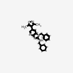 Cc1noc(C)c1-c1cnc2nc(NCC3CCCCC3)n(Cc3ccccc3)c2c1